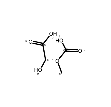 COC(=O)O.O=C(O)CO